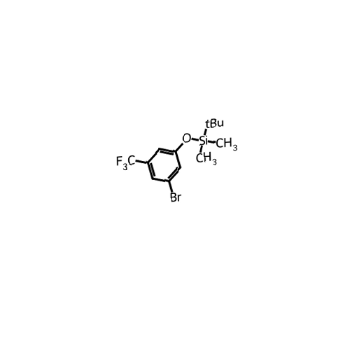 CC(C)(C)[Si](C)(C)Oc1cc(Br)cc(C(F)(F)F)c1